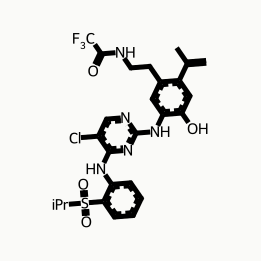 C=C(C)c1cc(O)c(Nc2ncc(Cl)c(Nc3ccccc3S(=O)(=O)C(C)C)n2)cc1CCNC(=O)C(F)(F)F